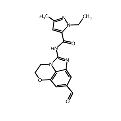 CCn1nc(C)cc1C(=O)Nc1nc2cc(C=O)cc3c2n1CCO3